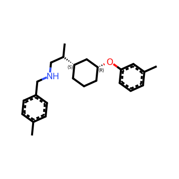 Cc1ccc(CNCC(C)[C@H]2CCC[C@@H](Oc3cccc(C)c3)C2)cc1